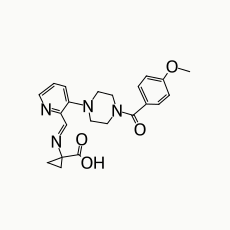 COc1ccc(C(=O)N2CCN(c3cccnc3C=NC3(C(=O)O)CC3)CC2)cc1